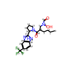 CCCCC(CN(O)C=O)C(=O)N1CCCC1c1nc2cc(C(F)(F)F)ccc2[nH]1